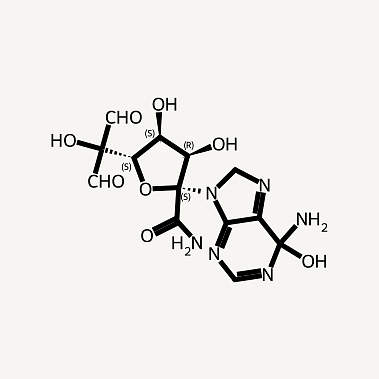 NC(=O)[C@@]1(N2CN=C3C2=NC=NC3(N)O)O[C@H](C(O)(C=O)C=O)[C@@H](O)[C@H]1O